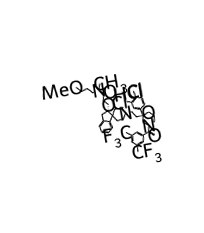 COCCCN(C)C(=O)CO[C@H]1Cc2ccccc2C12CCN(CC[C@]1(c3ccc(Cl)c(Cl)c3)CN(C(=O)c3cc(C(F)(F)F)cc(C(F)(F)F)c3)CCO1)CC2.Cl